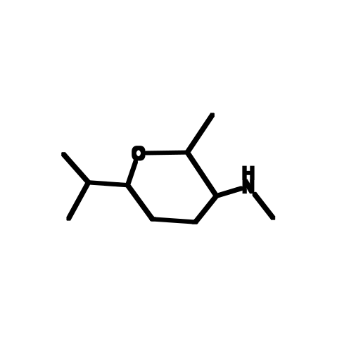 CNC1CCC(C(C)C)OC1C